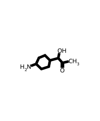 CC(=O)C(O)C1CCC(N)CC1